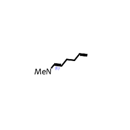 C=CCC/C=C/NC